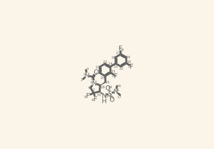 CN(C)C(=O)N1CC(F)(F)[C@H](NS(=O)(=O)N(C)C)[C@@H]1Cc1cccc(-c2cc(F)cc(F)c2)c1F